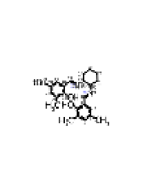 Cc1cc(C)c(O)c(/C=N/[C@@H]2CCCC[C@H]2/N=C/c2cc(C(C)(C)C)cc(C)c2O)c1